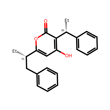 CC[C@@H](Cc1ccccc1)c1cc(O)c([C@H](CC)c2ccccc2)c(=O)o1